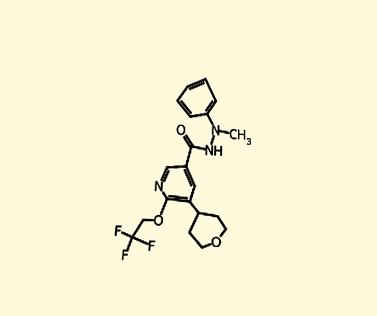 CN(NC(=O)c1cnc(OCC(F)(F)F)c(C2CCOCC2)c1)c1ccccc1